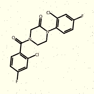 O=C(c1ccc(F)cc1Cl)N1CCN(c2ccc(F)cc2Cl)C(=O)C1